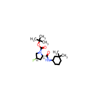 CC1(C)CCCC(NC(=O)[C@@H]2C[C@@H](F)CN2C(=O)OC(C)(C)C)C1